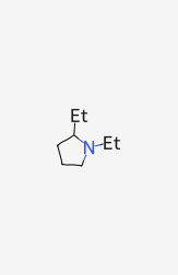 CCC1CCCN1CC